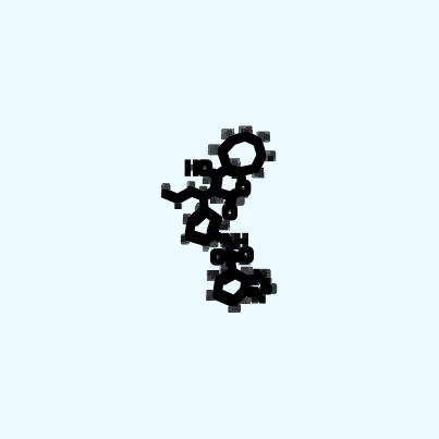 CCCC(c1cccc(NS(=O)(=O)c2cccc3nsnc23)c1)c1c(O)c2c(oc1=O)CCCCCC2